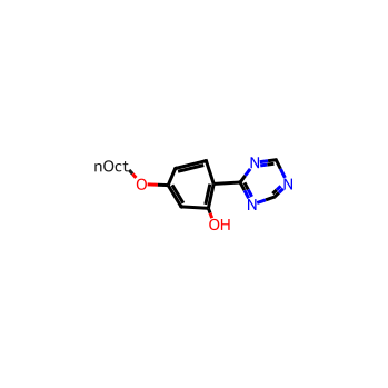 CCCCCCCCOc1ccc(-c2ncncn2)c(O)c1